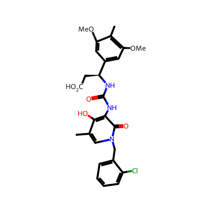 COc1cc([C@H](CC(=O)O)NC(=O)Nc2c(O)c(C)cn(Cc3ccccc3Cl)c2=O)cc(OC)c1C